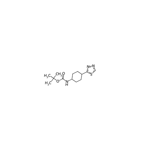 CC(C)(C)OC(=O)NC1CCC(c2nncs2)CC1